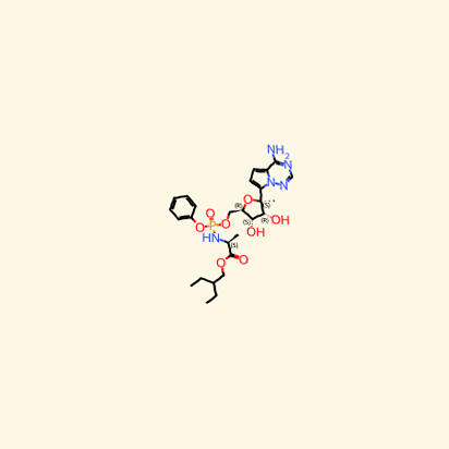 CCC(CC)COC(=O)[C@H](C)NP(=O)(OC[C@H]1O[C@@](C)(c2ccc3c(N)ncnn23)[C@H](O)[C@@H]1O)Oc1ccccc1